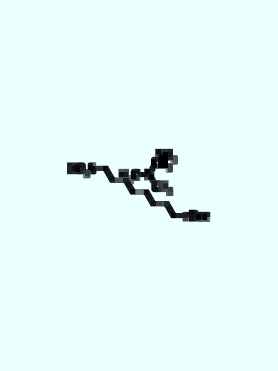 CCCCCCCCCCCCCCCCCCS(=O)(=O)O.CN(C)C.N